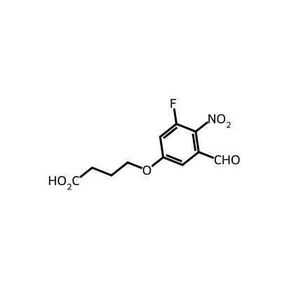 O=Cc1cc(OCCCC(=O)O)cc(F)c1[N+](=O)[O-]